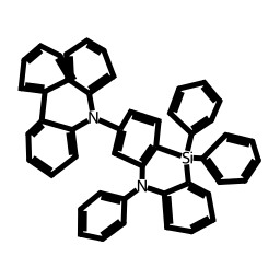 c1ccc(-c2ccccc2N(c2ccccc2)c2ccc3c(c2)N(c2ccccc2)c2ccccc2[Si]3(c2ccccc2)c2ccccc2)cc1